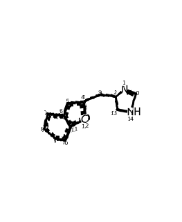 C1=NC(Cc2cc3ccccc3o2)CN1